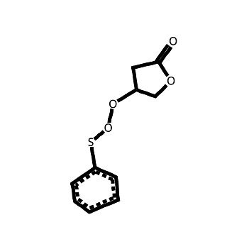 O=C1CC(OOSc2ccccc2)CO1